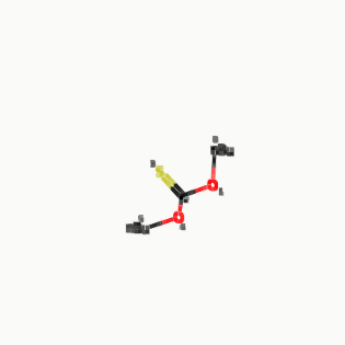 CCCCOC(=S)OCCCC